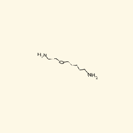 NCCCCCOCCN